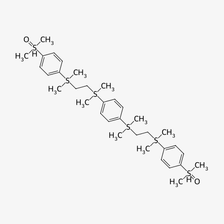 CS(C)(CCS(C)(C)c1ccc([SH](C)(C)=O)cc1)c1ccc(S(C)(C)CCS(C)(C)c2ccc([SH](C)(C)=O)cc2)cc1